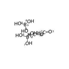 C=O.C=O.OB(O)O.OB(O)O